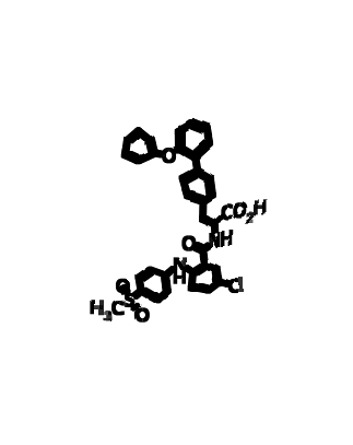 CS(=O)(=O)c1ccc(Nc2ccc(Cl)cc2C(=O)N[C@@H](Cc2ccc(-c3ccccc3Oc3ccccc3)cc2)C(=O)O)cc1